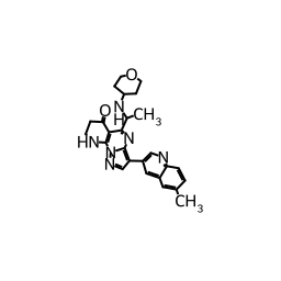 Cc1ccc2ncc(-c3cnn4c5c(c(C(C)NC6CCOCC6)nc34)C(=O)CCN5)cc2c1